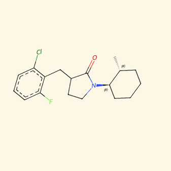 C[C@@H]1CCCC[C@H]1N1CCC(Cc2c(F)cccc2Cl)C1=O